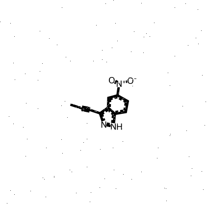 CC#Cc1n[nH]c2ccc([N+](=O)[O-])cc12